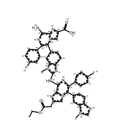 CCOC(=O)Cc1cn2c(-c3ccc4ncn(C)c4c3)c(-c3ccc(F)cc3)nc(Nc3nc4ccc(-c5c(-c6ccc(F)cc6)nc(N)c6nc(C(=O)O)cn56)cc4n3C)c2n1